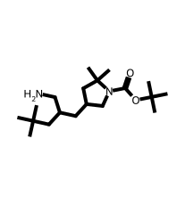 CC(C)(C)CC(CN)CC1CN(C(=O)OC(C)(C)C)C(C)(C)C1